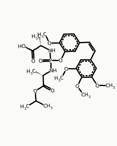 COc1ccc(/C=C\c2cc(OC)c(OC)c(OC)c2)cc1OP(=O)(N[C@@H](C)C(=O)O)N[C@@H](C)C(=O)OC(C)C